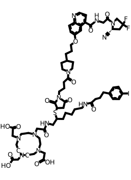 N#C[C@H]1CC(F)(F)CN1C(=O)CNC(=O)c1ccnc2ccc(OCCCC3CCN(C(=O)CCCN4C(=O)CC(SC(CCCCCNC(=O)CCCc5ccc(I)cc5)CNC(=O)CN5CCN(CC(=O)O)CCN(CC(=O)O)CCN(CC(=O)O)CC5)C4=O)CC3)cc12